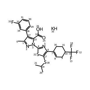 Cc1nn(-c2nc(C3=CCC(C(F)(F)F)CC3)c(SC(C)C)s2)c(C(=O)O)c1-c1cccc(F)c1.[KH]